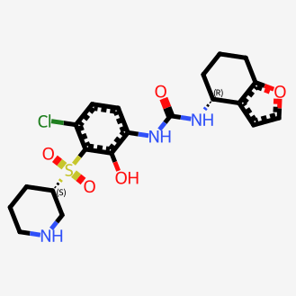 O=C(Nc1ccc(Cl)c(S(=O)(=O)[C@H]2CCCNC2)c1O)N[C@@H]1CCCc2occc21